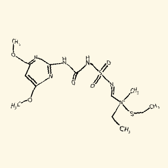 CC[N+](C)(C=NS(=O)(=O)NC(=O)Nc1nc(OC)cc(OC)n1)SC